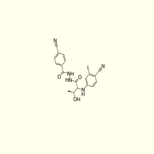 C[C@H](O)C(Nc1ccc(C#N)c(I)c1)C(=O)NNC(=O)c1ccc(C#N)cc1